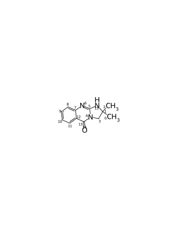 CC1(C)Cn2c(nc3c[c]ccc3c2=O)N1